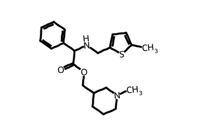 Cc1ccc(CNC(C(=O)OCC2CCCN(C)C2)c2ccccc2)s1